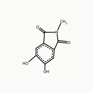 CN1C(=O)c2cc(O)c(O)cc2C1=O